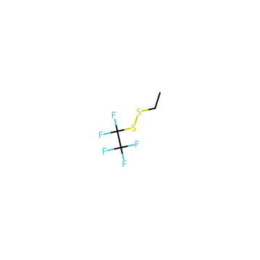 CCSSC(F)(F)C(F)(F)F